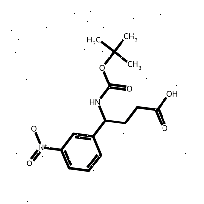 CC(C)(C)OC(=O)NC(CCC(=O)O)c1cccc([N+](=O)[O-])c1